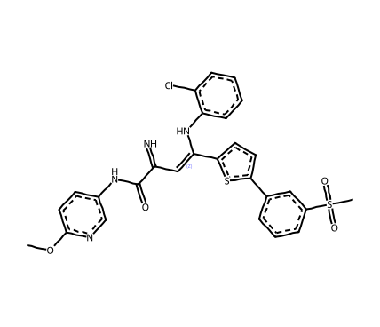 COc1ccc(NC(=O)C(=N)/C=C(\Nc2ccccc2Cl)c2ccc(-c3cccc(S(C)(=O)=O)c3)s2)cn1